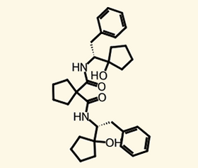 O=C(N[C@H](Cc1ccccc1)C1(O)CCCC1)C1(C(=O)N[C@H](Cc2ccccc2)C2(O)CCCC2)CCCC1